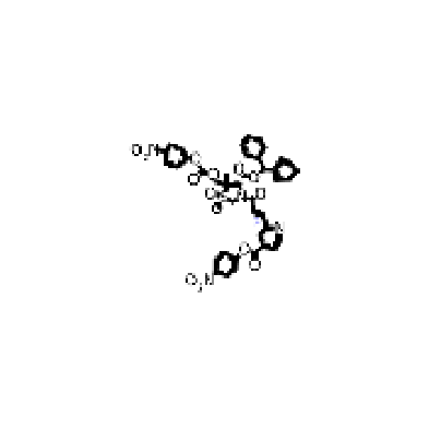 CC1(COC(=O)Oc2ccc([N+](=O)[O-])cc2)[C@H](C(=O)OC(c2ccccc2)c2ccccc2)N(C(=O)/C=C/c2cc(C(=O)Oc3ccc([N+](=O)[O-])cc3)ccn2)CS1(=O)=O